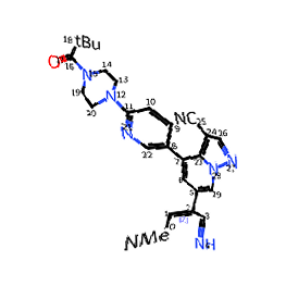 CN/C=C(\C=N)c1cc(-c2ccc(N3CCN(C(=O)C(C)(C)C)CC3)nc2)c2c(C#N)cnn2c1